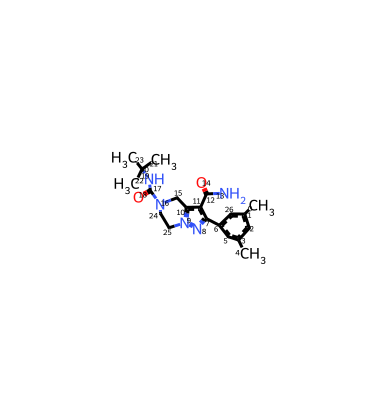 Cc1cc(C)cc(-c2nn3c(c2C(N)=O)CN(C(=O)NC(C)(C)C)CC3)c1